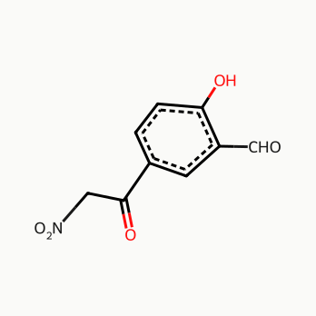 O=Cc1cc(C(=O)C[N+](=O)[O-])ccc1O